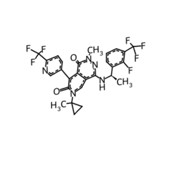 C[C@@H](Nc1nn(C)c(=O)c2c(-c3ccc(C(F)(F)F)nc3)c(=O)n(C3(C)CC3)cc12)c1cccc(C(F)(F)F)c1F